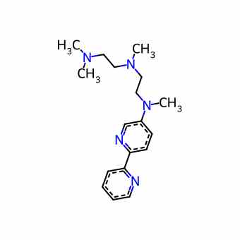 CN(C)CCN(C)CCN(C)c1ccc(-c2ccccn2)nc1